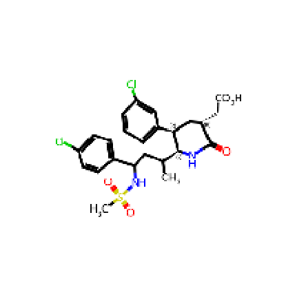 CC(CC(NS(C)(=O)=O)c1ccc(Cl)cc1)[C@@H]1NC(=O)[C@@H](CC(=O)O)C[C@@H]1c1cccc(Cl)c1